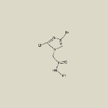 CC(C)NC(=O)Cn1cc(Br)nc1Br